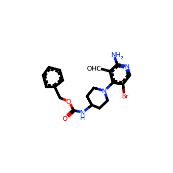 Nc1ncc(Br)c(N2CCC(NC(=O)OCc3ccccc3)CC2)c1C=O